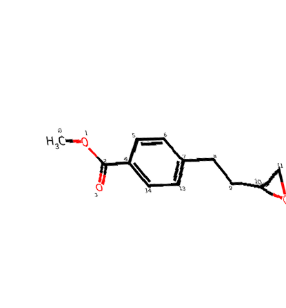 COC(=O)c1ccc(CCC2CO2)cc1